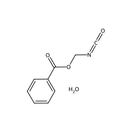 O.O=C=NCOC(=O)c1ccccc1